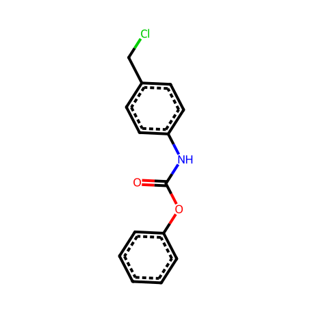 O=C(Nc1ccc(CCl)cc1)Oc1ccccc1